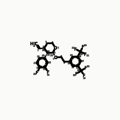 C=C[C@H]1CCO[C@H](OCCc2cc(C(F)(F)F)cc(C(F)(F)F)c2)[C@@H]1c1ccc(F)c(F)c1